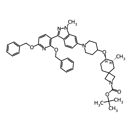 C[C@@H]1CC2(CC[C@H]1OC1CCN(c3ccc4c(-c5ccc(OCc6ccccc6)nc5OCc5ccccc5)nn(C)c4c3)CC1)CN(C(=O)OC(C)(C)C)C2